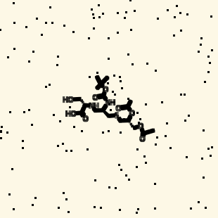 CC(=O)OC[C@H](CSC[C@@H](CN[C@@H](CO)C(=O)O)NC(=O)OC(C)(C)C)OC(C)=O